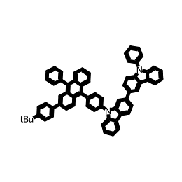 CC(C)(C)c1ccc(-c2ccc3c(-c4ccc(-n5c6ccccc6c6ccc(-c7ccc8c(c7)c7ccccc7n8-c7ccccc7)cc65)cc4)c4ccccc4c(-c4ccccc4)c3c2)cc1